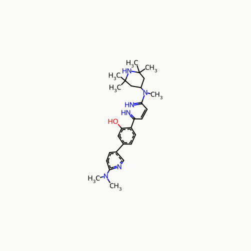 CN(C)c1ccc(-c2ccc(C(=N)/C=C\C(=N)N(C)C3CC(C)(C)NC(C)(C)C3)c(O)c2)cn1